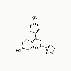 Cl.FC(F)(F)c1ccc(-c2cc(-c3ccco3)cc3c2CCNC3)cc1